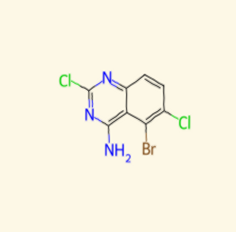 Nc1nc(Cl)nc2ccc(Cl)c(Br)c12